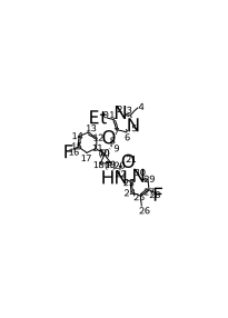 CCc1nc(C)ncc1OC[C@@]1(C2C=CC=C(F)C2)C[C@H]1C(=O)Nc1cc(C)c(F)cn1